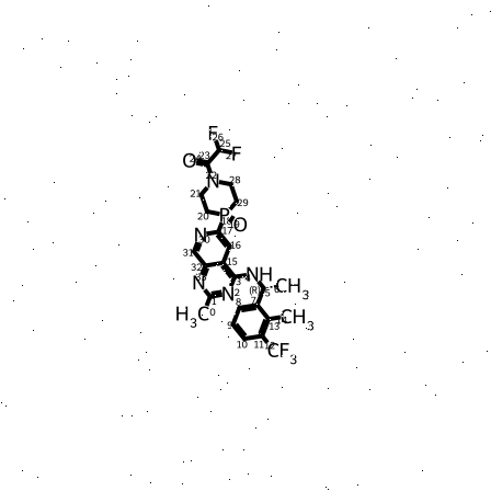 Cc1nc(N[C@H](C)c2cccc(C(F)(F)F)c2C)c2cc(P3(=O)CCN(C(=O)C(F)F)CC3)ncc2n1